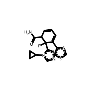 NC(=O)C1C=CC=C(c2cscn2)C1(F)c1nncn1C1CC1